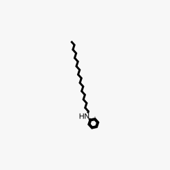 CCCCCCCCCCCCCCCCCCNc1[c]cccc1